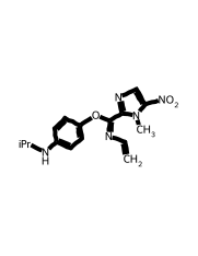 C=CN=C(Oc1ccc(NC(C)C)cc1)c1ncc([N+](=O)[O-])n1C